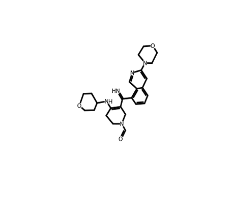 N=C(C1=C(NC2CCOCC2)CCN(C=O)C1)c1cccc2cc(N3CCOCC3)ncc12